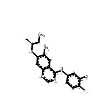 COC[C@H](C)Oc1cc2ncnc(Nc3ccc(F)c(Cl)c3)c2cc1N